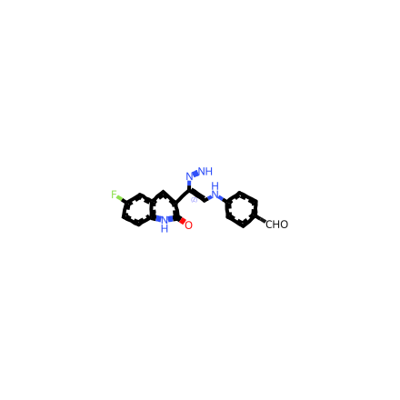 N=N/C(=C\Nc1ccc(C=O)cc1)c1cc2cc(F)ccc2[nH]c1=O